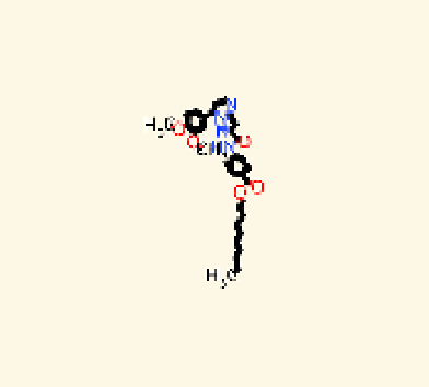 CCCCCCCCCCOC(=O)c1ccc(NC(=O)c2cc3nccc(-c4ccc(OC)c(OC)c4)n3n2)cc1